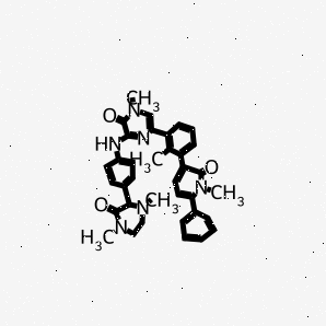 Cc1c(-c2cn(C)c(=O)c(Nc3ccc(C4C(=O)N(C)CCN4C)cc3)n2)cccc1-c1ccc(-c2ccccc2)n(C)c1=O